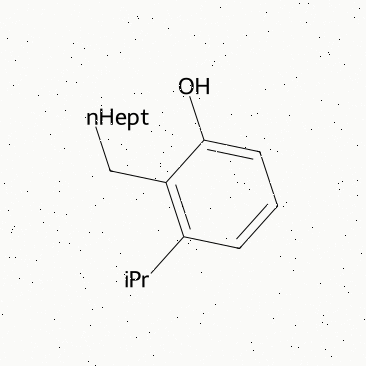 CCCCCCCCc1c(O)cccc1C(C)C